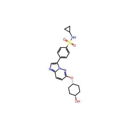 O=S(=O)(NC1CC1)c1ccc(-c2cnc3ccc(O[C@H]4CC[C@H](O)CC4)nn23)cc1